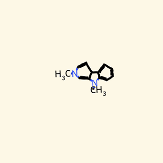 CN1C=CC2C(=C1)N(C)c1ccccc12